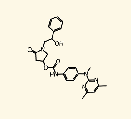 Cc1cc(C)nc(N(C)c2ccc(NC(=O)OC3CC(=O)N(CC(O)c4ccccc4)C3)cc2)n1